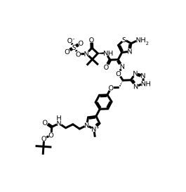 C[n+]1cc(-c2ccc(OC[C@H](O/N=C(\C(=O)N[C@@H]3C(=O)N(OS(=O)(=O)[O-])C3(C)C)c3csc(N)n3)c3nn[nH]n3)cc2)cn1CCCNC(=O)OOC(C)(C)C